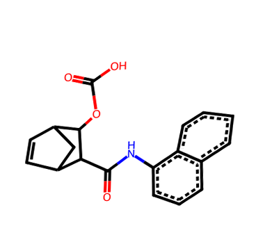 O=C(O)OC1C2C=CC(C2)C1C(=O)Nc1cccc2ccccc12